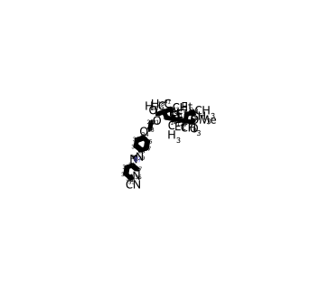 CCC(C)(C)CC(C)(C(=O)OC)C(CC)(CC)C(C)(CC)CC(C)(C(=O)OCCOc1ccc(/N=N/c2ccc(C#N)nc2)cc1)C(C)(C)CC